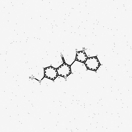 COc1ccc2c(=O)c(-c3n[nH]c4ccccc34)coc2c1